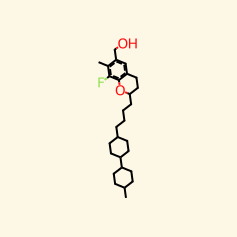 Cc1c(CO)cc2c(c1F)OC(CCCCC1CCC(C3CCC(C)CC3)CC1)CC2